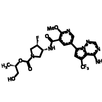 COc1ncc(-c2cc(C(F)(F)F)c3c(N)ncnn23)cc1C(=O)N[C@@H]1CN(C(=O)O[C@@H](C)CO)C[C@@H]1F